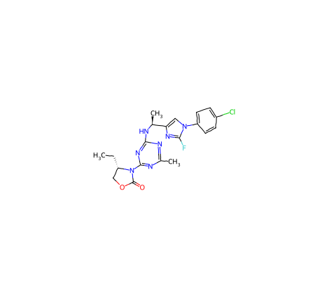 CC[C@H]1COC(=O)N1c1nc(C)nc(N[C@@H](C)c2cn(-c3ccc(Cl)cc3)c(F)n2)n1